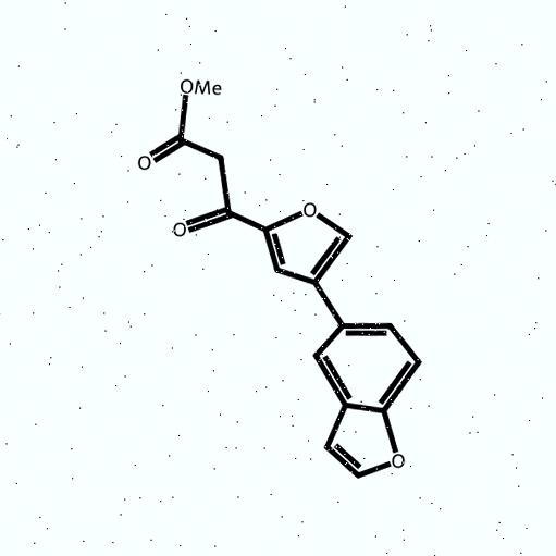 COC(=O)CC(=O)c1cc(-c2ccc3occc3c2)co1